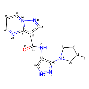 CC1CCN(c2n[nH]cc2NC(=O)c2cnn3cccnc23)C1